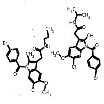 CCCNC(=O)Cc1c(C)n(C(=O)c2ccc(Br)cc2)c2cc(Cl)c(OC)cc12.COc1cc2c(CC(=O)NC(C)C)c(C)n(C(=O)c3ccc(Br)cc3)c2cc1Cl